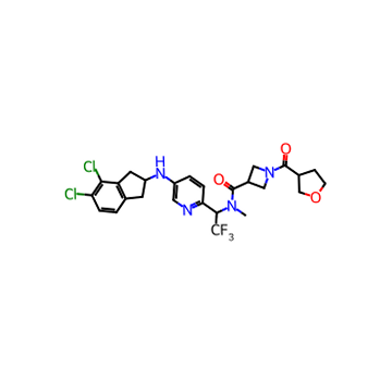 CN(C(=O)C1CN(C(=O)C2CCOC2)C1)C(c1ccc(NC2Cc3ccc(Cl)c(Cl)c3C2)cn1)C(F)(F)F